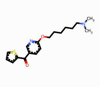 CN(C)CCCCCCOc1ccc(C(=O)c2cccs2)cn1